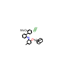 COc1ccccc1-c1ccccc1N=C1CC(C)=CC=C1[O][Ti+3][CH]1C2CC3CC(C2)CC1C3.[Cl-].[Cl-].[Cl-]